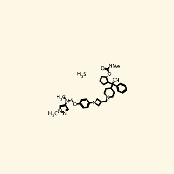 CNC(=O)O[C@H]1CCCC1C(C#N)(c1ccccc1)C1CCN(CC2CN(c3ccc(OSN(C)c4cnn(C)c4)cc3)C2)CC1.S